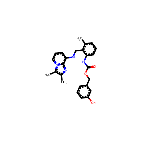 Cc1cccc(NC(=O)OCc2cccc(O)c2)c1CNc1cccn2c(C)c(C)nc12